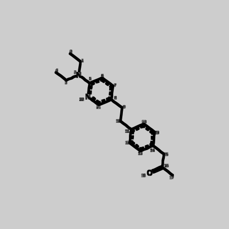 CCN(CC)c1ccc(CCc2ccc(CC(C)=O)cc2)cn1